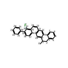 CC(Cc1ccccc1)c1[c]cc(/C=C\c2cccc(-c3ccccc3)c2F)cc1